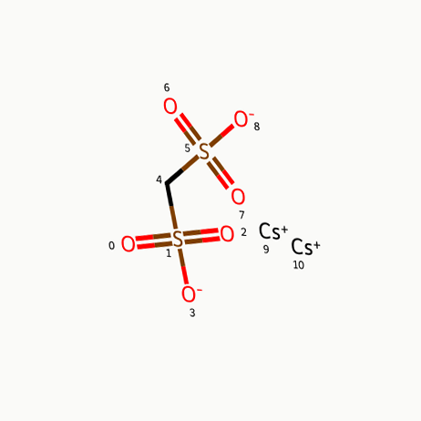 O=S(=O)([O-])CS(=O)(=O)[O-].[Cs+].[Cs+]